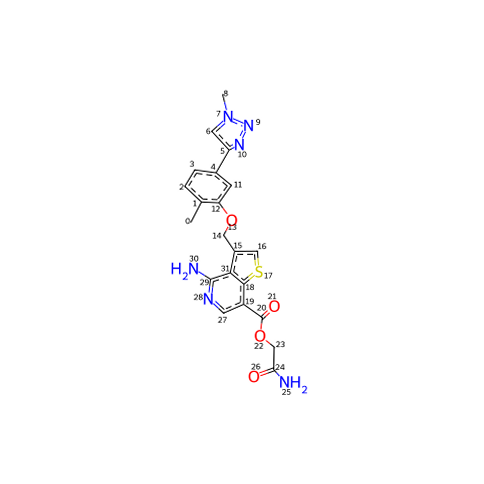 Cc1ccc(-c2cn(C)nn2)cc1OCc1csc2c(C(=O)OCC(N)=O)cnc(N)c12